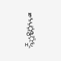 CC[C@H]1CC[C@H](C(=O)OC2CCC(/C=C/C=CC#N)CC2)CC1